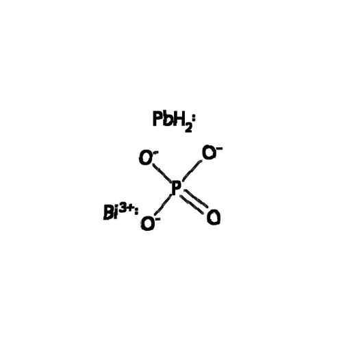 O=P([O-])([O-])[O-].[Bi+3].[PbH2]